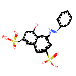 O=S(=O)(O)c1cc(O)c2c(/N=N/c3ccccc3)cc(S(=O)(=O)O)cc2c1